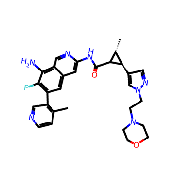 Cc1ccncc1-c1cc2cc(NC(=O)C3[C@H](C)[C@H]3c3cnn(CCN4CCOCC4)c3)ncc2c(N)c1F